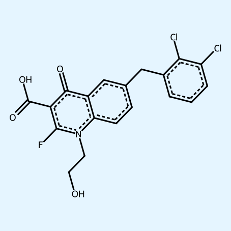 O=C(O)c1c(F)n(CCO)c2ccc(Cc3cccc(Cl)c3Cl)cc2c1=O